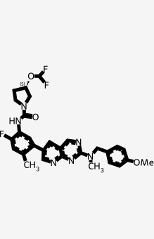 COc1ccc(CN(C)c2ncc3cc(-c4cc(NC(=O)N5CC[C@H](OC(F)F)C5)c(F)cc4C)cnc3n2)cc1